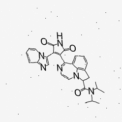 CC(C)N(C(=O)C1Cc2cccc3c2N1C=CN=C3C1=C(c2cnc3ccccn23)C(=O)NC1=O)C(C)C